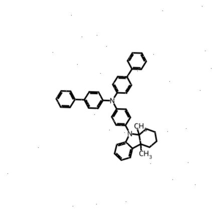 CC12CCCCC1(C)N(c1ccc(N(c3ccc(-c4ccccc4)cc3)c3ccc(-c4ccccc4)cc3)cc1)c1ccccc12